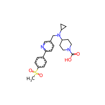 CS(=O)(=O)c1ccc(-c2ccc(CN(C3CC3)C3CCN(C(=O)O)CC3)cn2)cc1